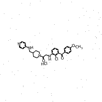 COc1ccc(C(=O)c2cccc(NCC(=O)N3CCC(CNc4ccncc4)CC3)c2Cl)cc1.Cl